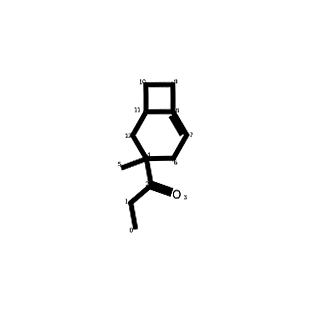 CCC(=O)C1(C)CC=C2CCC2C1